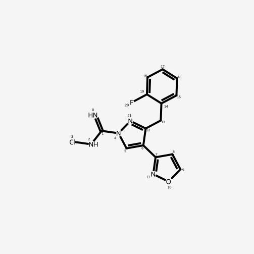 N=C(NCl)n1cc(-c2ccon2)c(Cc2ccccc2F)n1